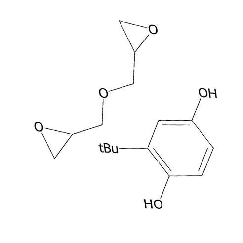 C(OCC1CO1)C1CO1.CC(C)(C)c1cc(O)ccc1O